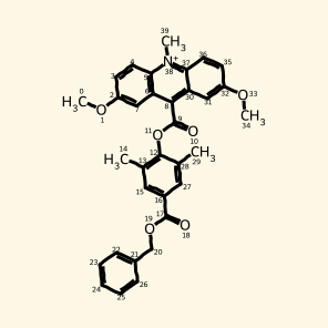 COc1ccc2c(c1)c(C(=O)Oc1c(C)cc(C(=O)OCc3ccccc3)cc1C)c1cc(OC)ccc1[n+]2C